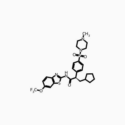 CN1CCN(S(=O)(=O)c2ccc([C@@H](CC3CCCC3)C(=O)Nc3nc4ccc(OC(F)(F)F)cc4s3)cc2)CC1